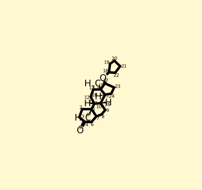 C[C@]12CCC(=O)CC1CC[C@@H]1[C@H]2CC[C@]2(C)C(OC3CCCC3)CC[C@@H]12